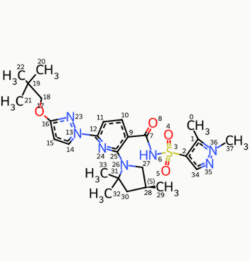 Cc1c(S(=O)(=O)NC(=O)c2ccc(-n3ccc(OCC(C)(C)C)n3)nc2N2C[C@@H](C)CC2(C)C)cnn1C